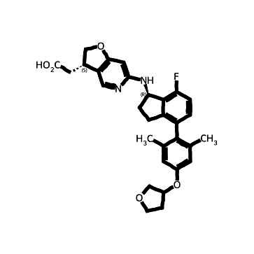 Cc1cc(OC2CCOC2)cc(C)c1-c1ccc(F)c2c1CC[C@H]2Nc1cc2c(cn1)[C@H](CC(=O)O)CO2